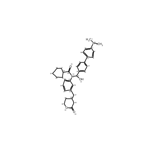 CN(C)c1ccc(-c2ccc(C(O)N(C(=O)C3CCCCC3)c3cccc(CC4CCOC(=O)C4)c3)cc2)cc1